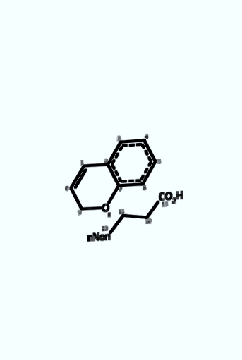 C1=Cc2ccccc2OC1.CCCCCCCCCCCC(=O)O